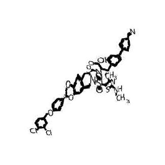 CCNc1nc(C)c(S(=O)(=O)N2Cc3cc4c(cc3C[C@H]2C(=O)NC(Cc2ccc(-c3ccc(C#N)cc3)cc2)C(=O)O)OC[C@H](c2ccc(OCc3ccc(Cl)c(Cl)c3)cc2)O4)s1